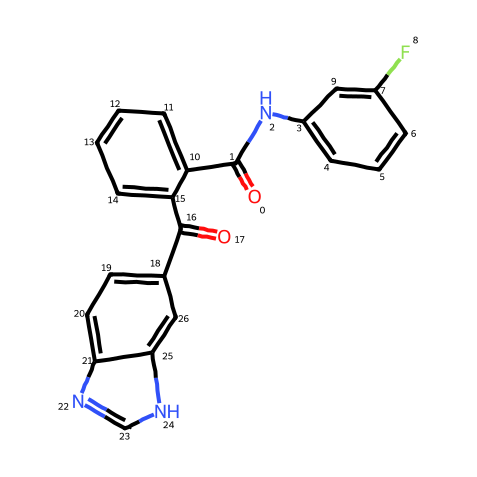 O=C(Nc1cccc(F)c1)c1ccccc1C(=O)c1ccc2n[c][nH]c2c1